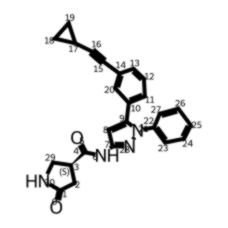 O=C1C[C@H](C(=O)Nc2cc(-c3cccc(C#CC4CC4)c3)n(-c3ccccc3)n2)CN1